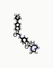 C[C@H]1\C=C(C(=O)Nc2ccc(/C=C/C(=O)N3CC4C=C(c5ccsc5)CC4C3)cn2)/C=C\C=C\C1